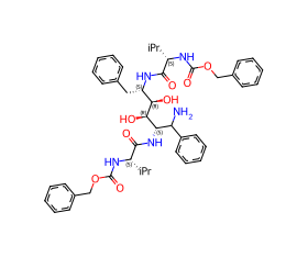 CC(C)[C@H](NC(=O)OCc1ccccc1)C(=O)N[C@@H](Cc1ccccc1)[C@@H](O)[C@H](O)[C@@H](NC(=O)[C@@H](NC(=O)OCc1ccccc1)C(C)C)C(N)c1ccccc1